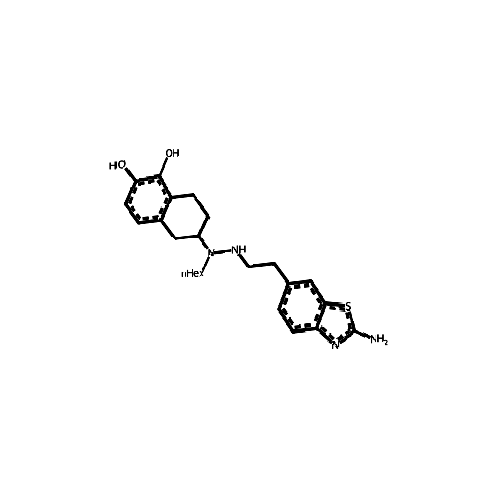 CCCCCCN(NCCc1ccc2nc(N)sc2c1)C1CCc2c(ccc(O)c2O)C1